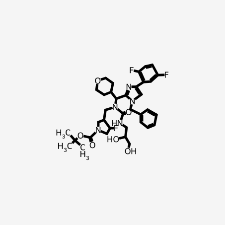 CC(C)(C)OC(=O)N1CC(F)C(CN(C(=O)NCC(O)CO)C(c2nc(-c3cc(F)ccc3F)cn2Cc2ccccc2)C2CCOCC2)C1